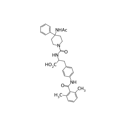 CC(=O)NC1(c2ccccc2)CCN(C(=O)NC(Cc2ccc(NC(=O)c3c(C)cccc3C)cc2)C(=O)O)CC1